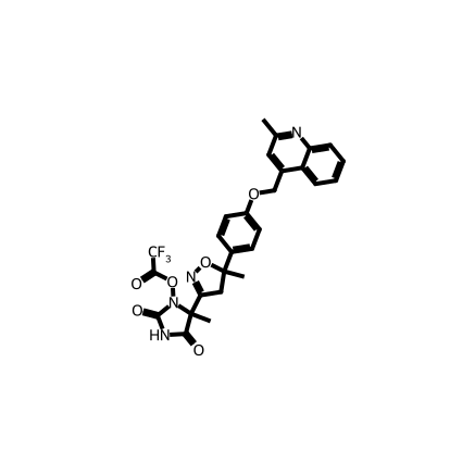 Cc1cc(COc2ccc(C3(C)CC(C4(C)C(=O)NC(=O)N4OC(=O)C(F)(F)F)=NO3)cc2)c2ccccc2n1